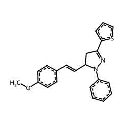 COc1ccc(C=CC2CC(c3cccs3)=NN2c2ccccc2)cc1